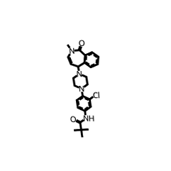 CN1C=CC(N2CCN(c3ccc(NC(=O)C(C)(C)C)cc3Cl)CC2)c2ccccc2C1=O